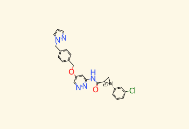 O=C(Nc1cc(OCc2ccc(Cn3cccn3)cc2)cnn1)[C@H]1C[C@@H]1c1cccc(Cl)c1